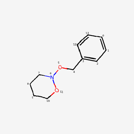 c1ccc(CON2CCCCO2)cc1